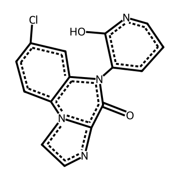 O=c1c2nccn2c2ccc(Cl)cc2n1-c1cccnc1O